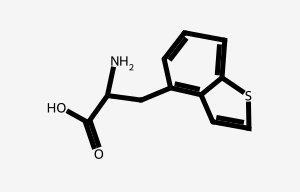 NC(Cc1cccc2sccc12)C(=O)O